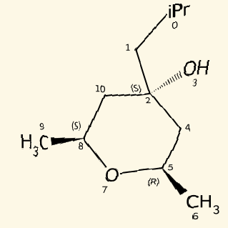 CC(C)C[C@@]1(O)C[C@@H](C)O[C@@H](C)C1